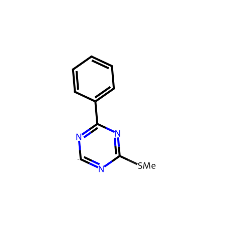 CSc1n[c]nc(-c2ccccc2)n1